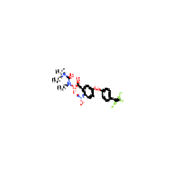 CN(C)C(=O)N(C)OC(=O)c1cc(Oc2ccc(C(F)(F)F)cc2)ccc1[N+](=O)[O-]